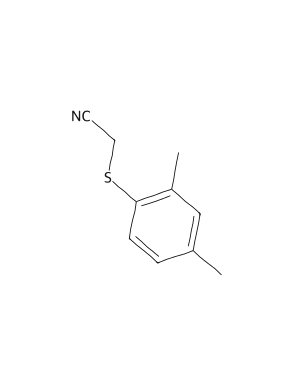 Cc1ccc(SCC#N)c(C)c1